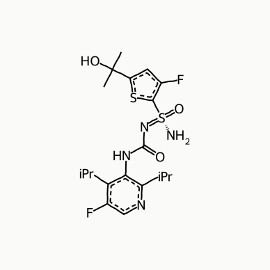 CC(C)c1ncc(F)c(C(C)C)c1NC(=O)N=[S@](N)(=O)c1sc(C(C)(C)O)cc1F